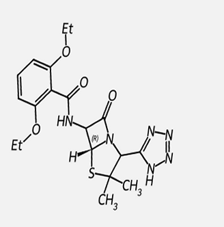 CCOc1cccc(OCC)c1C(=O)NC1C(=O)N2C(c3nnn[nH]3)C(C)(C)S[C@H]12